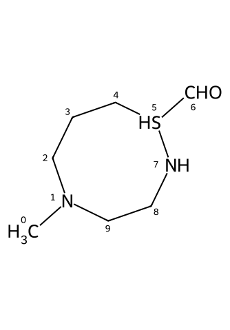 CN1CCC[SH](C=O)NCC1